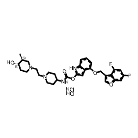 C[C@H]1CN(CCN2CCC(NC(=O)Oc3cc4c(OCc5coc6cc(F)cc(F)c56)cccc4[nH]3)CC2)CC[C@@H]1O.Cl.Cl